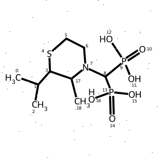 CC(C)C1SCCN(C(P(=O)(O)O)P(=O)(O)O)C1C